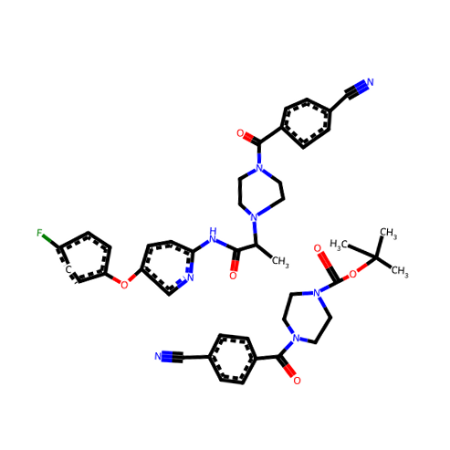 CC(C(=O)Nc1ccc(Oc2ccc(F)cc2)cn1)N1CCN(C(=O)c2ccc(C#N)cc2)CC1.CC(C)(C)OC(=O)N1CCN(C(=O)c2ccc(C#N)cc2)CC1